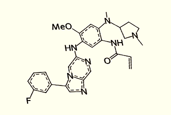 C=CC(=O)Nc1cc(Nc2cn3c(-c4cccc(F)c4)cnc3cn2)c(OC)cc1N(C)C1CCN(C)C1